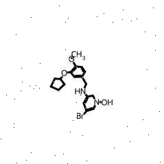 COc1ccc(CNC2=CC(Br)=CN(O)C2)cc1OC1CCCC1